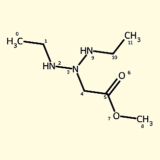 CCNN(CC(=O)OC)NCC